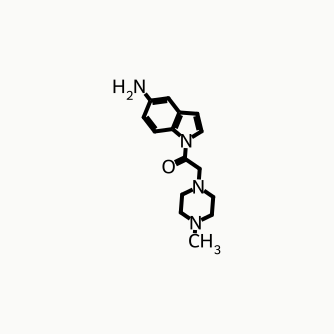 CN1CCN(CC(=O)n2ccc3cc(N)ccc32)CC1